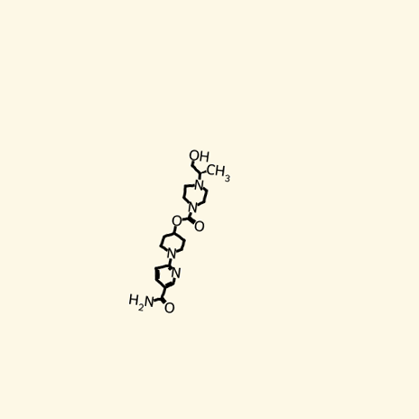 C[C@H](CO)N1CCN(C(=O)OC2CCN(c3ccc(C(N)=O)cn3)CC2)CC1